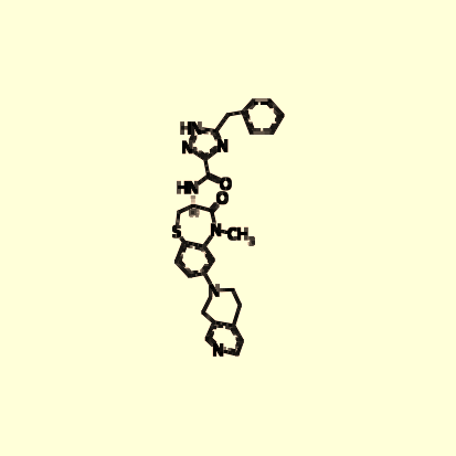 CN1C(=O)[C@@H](NC(=O)c2n[nH]c(Cc3ccccc3)n2)CSc2ccc(N3CCc4ccncc4C3)cc21